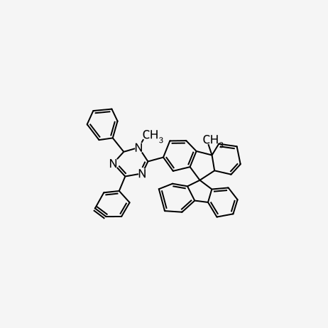 CN1C(c2ccc3c(c2)C2(c4ccccc4-c4ccccc42)C2C=CC=CC32C)=NC(c2cc#ccc2)=NC1c1ccccc1